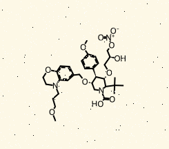 COCCCN1CCOc2ccc(CO[C@H]3CN(C(=O)O)C(C(C)(C)C)[C@@H](OC[C@H](O)CO[N+](=O)[O-])[C@@H]3c3ccc(OC)cc3)cc21